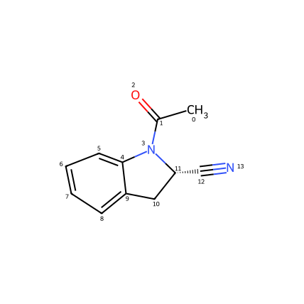 CC(=O)N1c2ccccc2C[C@H]1C#N